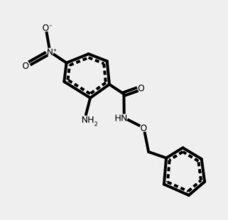 Nc1cc([N+](=O)[O-])ccc1C(=O)NOCc1ccccc1